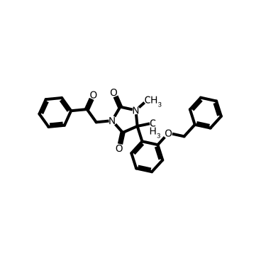 CN1C(=O)N(CC(=O)c2ccccc2)C(=O)C1(C)c1ccccc1OCc1ccccc1